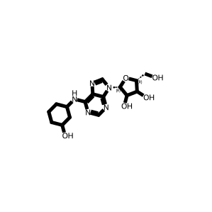 OC[C@H]1O[C@@H](n2cnc3c(NC4CCCC(O)C4)ncnc32)C(O)C1O